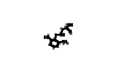 Nc1cccc(O)c1CNCC(=O)O